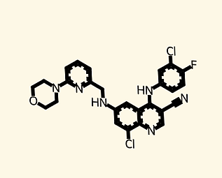 N#Cc1cnc2c(Cl)cc(NCc3cccc(N4CCOCC4)n3)cc2c1Nc1ccc(F)c(Cl)c1